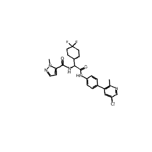 Cc1ncc(Cl)cc1-c1ccc(NC(=O)[C@@H](NC(=O)c2ccnn2C)C2CCC(F)(F)CC2)cc1